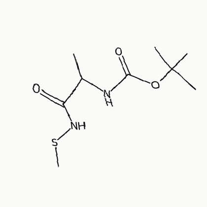 CSNC(=O)C(C)NC(=O)OC(C)(C)C